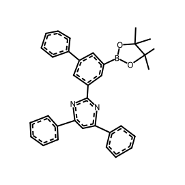 CC1(C)OB(c2cc(-c3ccccc3)cc(-c3nc(-c4ccccc4)cc(-c4ccccc4)n3)c2)OC1(C)C